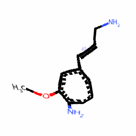 COc1cc(/C=C/CN)ccc1N